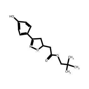 CC(C)(C)COC(=O)CC1CC(c2ccc(O)cc2)=NO1